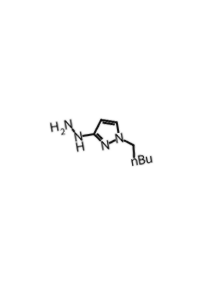 CCCCCn1ccc(NN)n1